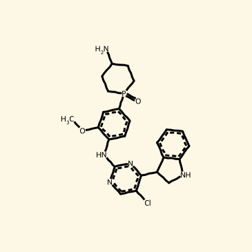 COc1cc(P2(=O)CCC(N)CC2)ccc1Nc1ncc(Cl)c(C2CNc3ccccc32)n1